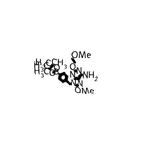 COCCOc1nc(N)c2nc(OC)n(Cc3ccc(B4OC(C)(C)C(C)(C)O4)cc3)c2n1